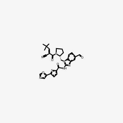 CC(C)(C)/C=C(\C#N)C(=O)N1CCC[C@@H]1Cn1c(NC(=O)c2ccc(-c3cnco3)s2)nc2cc(C=O)ccc21